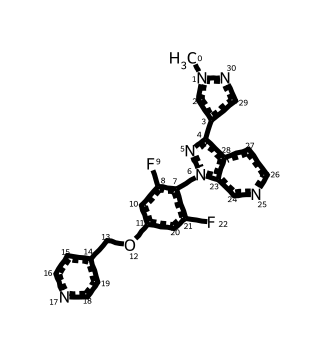 Cn1cc(-c2nn(-c3c(F)cc(OCc4ccncc4)cc3F)c3cnccc23)cn1